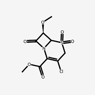 COC(=O)C1=C(Cl)CS(=O)(=O)C2[C@H](OC)C(=O)N12